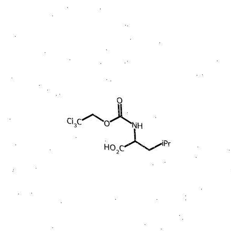 CC(C)CC(NC(=O)OCC(Cl)(Cl)Cl)C(=O)O